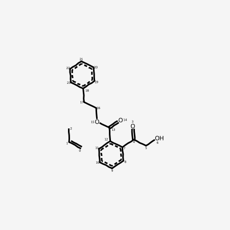 C=CC.O=C(CO)c1ccccc1C(=O)OCCc1ccccc1